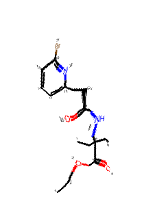 CCOC(=O)C(C)(C)NC(=O)Cc1cccc(Br)n1